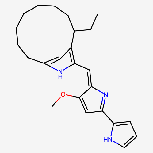 CCC1CCCCCCCc2cc1c(C=C1N=C(c3ccc[nH]3)C=C1OC)[nH]2